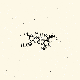 COc1cc(Cl)cc(NC(=O)Nc2cc(Br)ccc2C(N)=O)c1